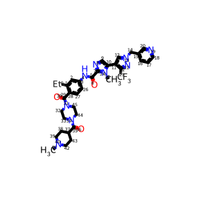 CCc1cc(NC(=O)c2ncc(-c3cn(Cc4cccnc4)nc3C(F)(F)F)n2C)ccc1C(=O)N1CCN(C(=O)C2CCN(C)CC2)CC1